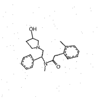 Cc1ccccc1CC(=O)N(C)C(CN1CCC(O)C1)c1ccccc1